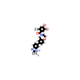 CCc1cc(Br)c(Br)cc1C(=O)N1CCOc2ccc(-c3ccc4nc(C)[nH]c4c3)cc2C1